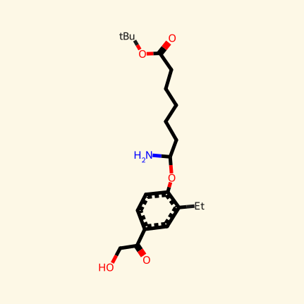 CCc1cc(C(=O)CO)ccc1OC(N)CCCCCC(=O)OC(C)(C)C